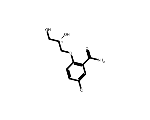 NC(=O)c1cc(Cl)ccc1OC[C@@H](O)CO